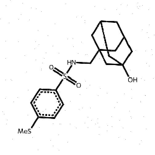 CSc1ccc(S(=O)(=O)NCC23CC4CC(CC(O)(C4)C2)C3)cc1